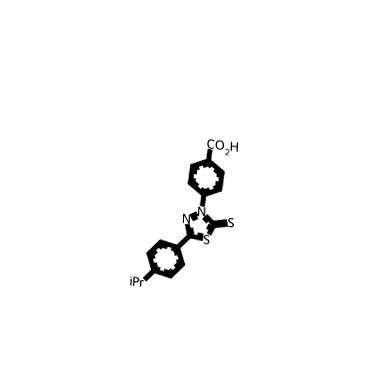 CC(C)c1ccc(-c2nn(-c3ccc(C(=O)O)cc3)c(=S)s2)cc1